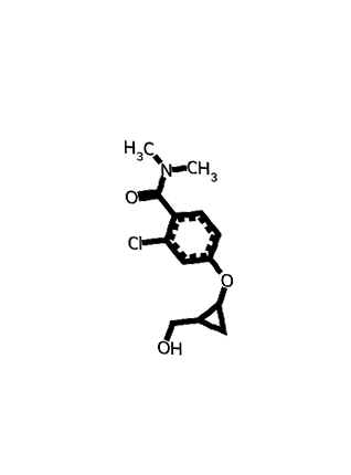 CN(C)C(=O)c1ccc(OC2CC2CO)cc1Cl